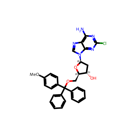 COc1ccc(C(OC[C@H]2O[C@@H](n3cnc4c(N)nc(Cl)nc43)C[C@@H]2O)(c2ccccc2)c2ccccc2)cc1